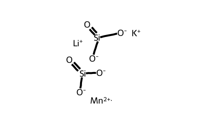 O=[Si]([O-])[O-].O=[Si]([O-])[O-].[K+].[Li+].[Mn+2]